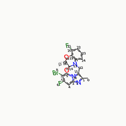 Cc1nc2cc(F)c(Br)cn2c1CN1C(=O)[C@H](C)Oc2c(F)cccc21